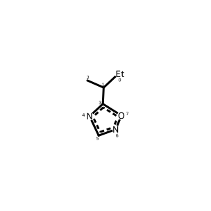 CCC(C)c1ncno1